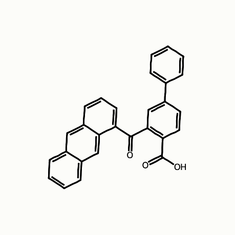 O=C(O)c1ccc(-c2ccccc2)cc1C(=O)c1cccc2cc3ccccc3cc12